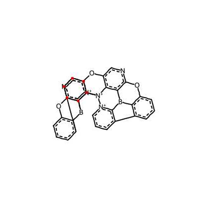 c1cc2c3c(c1)-c1ccc[n+]4c1B3c1c(ncc3c1[N+]41c4c(cnc5c4B4c6c(cccc6-c6ccc[n+]1c64)O5)O3)O2